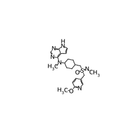 CN=S(=O)(Cc1ccc(OC)nc1)CC1CCC(N(C)c2ncnc3[nH]ccc23)CC1